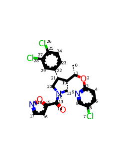 C[C@H](Oc1ccc(Cl)cn1)[C@@H]1CN(C(=O)c2ccno2)C[C@@H]1c1ccc(Cl)c(Cl)c1